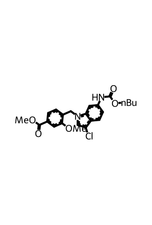 CCCCOC(=O)Nc1ccc2c(Cl)cn(Cc3ccc(C(=O)OC)cc3OC)c2c1